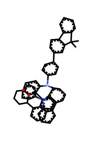 CC1(C)c2ccccc2-c2ccc(-c3ccc(N(c4ccccc4-c4cccc5cccc(C6CCCCC6)c45)c4cccc5c6ccccc6n(-c6ccccc6)c45)cc3)cc21